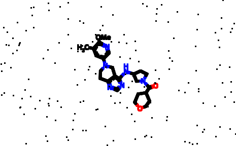 COc1ncc(N2CCc3ncnc(NC4CCN(C(=O)C5CCOCC5)C4)c3C2)cc1C